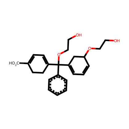 O=C(O)C1=CC=C(C(OCCO)(C2=CC=CC(OCCO)C2)c2ccccc2)CC1